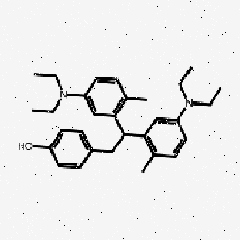 CCN(CC)c1ccc(C)c(C(Cc2ccc(O)cc2)c2cc(N(CC)CC)ccc2C)c1